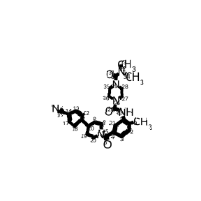 Cc1ccc(C(=O)N2CCC(c3ccc(C#N)cc3)CC2)cc1NC(=O)N1CCN(C(=O)N(C)C)CC1